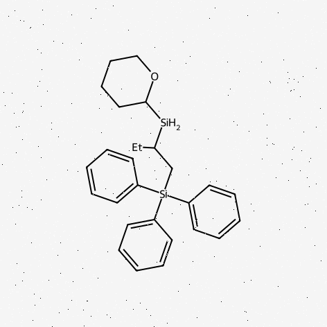 CCC(C[Si](c1ccccc1)(c1ccccc1)c1ccccc1)[SiH2]C1CCCCO1